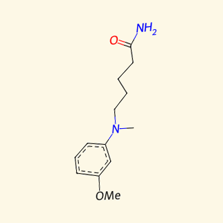 COc1cccc(N(C)CCCCC(N)=O)c1